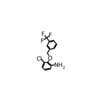 Nc1cccc(Cl)c1OCc1cccc(C(F)(F)F)c1